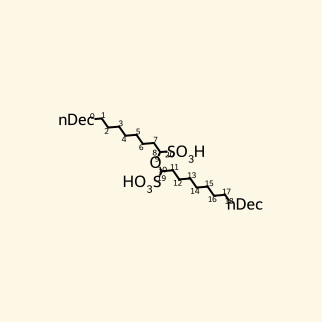 CCCCCCCCCCCCCCCCCC(OC(CCCCCCCCCCCCCCCCC)S(=O)(=O)O)S(=O)(=O)O